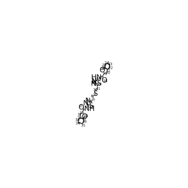 O=C(Nc1nnc(CCSCCc2nnc(NC(=O)C3Cc4ccccc4O3)s2)s1)C1Cc2ccccc2O1